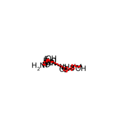 C=C1/C(=C\C=C2/CCC[C@@]3(C)C2CCC3[C@@H](C)/C=C/C(O)C2CC2)CCCC1OC(=O)NCCCCCCNC(=O)OCC1OC(n2ccc(N)nc2=O)C(F)(F)C1O